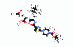 COC(=O)[C@H](COC(C)=O)NC(=O)[C@H](CO[Si](C)(C)C(C)(C)C)NC(=O)c1csc(N2CCN(C(=O)OC(C)(C)C)[C@H](C)C2)n1